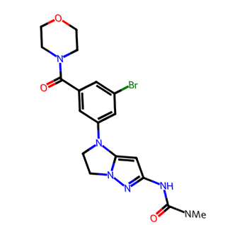 CNC(=O)Nc1cc2n(n1)CCN2c1cc(Br)cc(C(=O)N2CCOCC2)c1